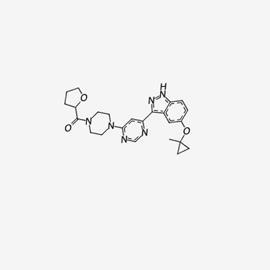 CC1(Oc2ccc3[nH]nc(-c4cc(N5CCN(C(=O)C6CCCO6)CC5)ncn4)c3c2)CC1